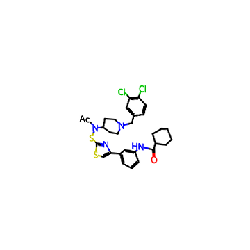 CC(=O)N(Sc1nc(-c2cccc(NC(=O)C3CCCCC3)c2)cs1)C1CCN(Cc2ccc(Cl)c(Cl)c2)CC1